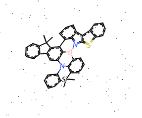 CC1(C)c2ccccc2-c2cc3c4c(c21)-c1cccc2c5c6ccccc6sc5n(c12)B4c1cccc2c1N3c1ccccc1[Si]2(C)C